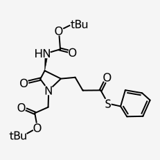 CC(C)(C)OC(=O)CN1C(=O)[C@@H](NC(=O)OC(C)(C)C)C1CCC(=O)Sc1ccccc1